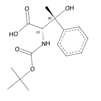 CC(C)(C)OC(=O)N[C@H](C(=O)O)[C@](C)(O)c1ccccc1